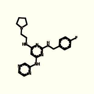 Fc1ccc(CNc2nc(NCCN3CCCC3)cc(Nc3cnccn3)n2)cc1